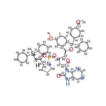 COc1ccc(C(OC[C@H]2O[C@@H](n3c(=O)[nH]c4cncnc43)C[C@@H]2OP2O[C@H](C[Si](C)(c3ccccc3)c3ccccc3)[C@@H]3CCCN32)(c2ccccc2)c2ccc(OC)cc2)cc1